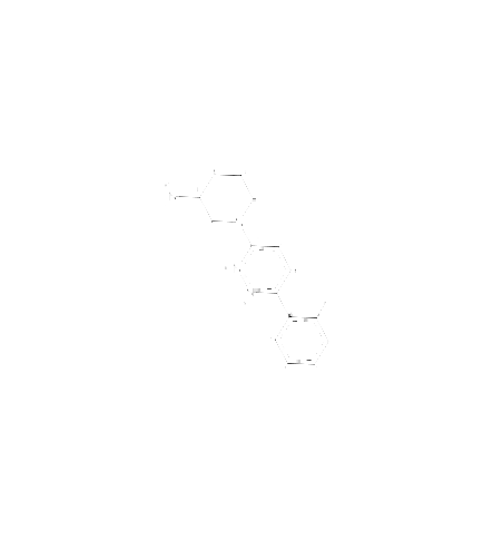 CCc1ccccc1-c1ccc(N2CCCC(N)C2)nn1